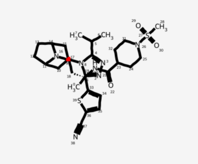 Cc1nnc(C(C)C)n1C1CC2CCC(C1)N2CC[C@H](NC(=O)C1CCN(S(C)(=O)=O)CC1)c1ccc(C#N)s1